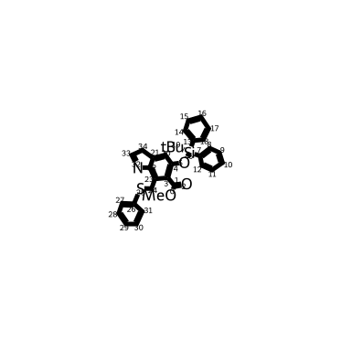 COC(=O)c1c(O[Si](c2ccccc2)(c2ccccc2)C(C)(C)C)cc2c(c1CSc1ccccc1)N=CC2